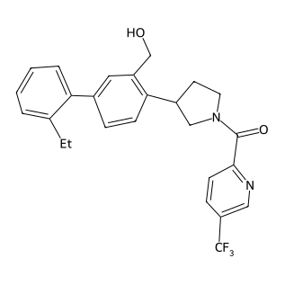 CCc1ccccc1-c1ccc(C2CCN(C(=O)c3ccc(C(F)(F)F)cn3)C2)c(CO)c1